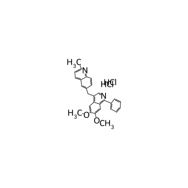 COc1cc2c(Cc3ccc4nc(C)ccc4c3)cnc(-c3ccccc3)c2cc1OC.Cl.Cl